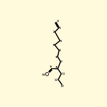 C=CCCCCCCC(C=O)CCC